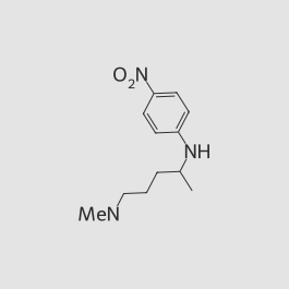 CNCCCC(C)Nc1ccc([N+](=O)[O-])cc1